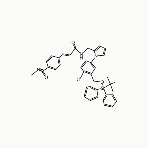 CNC(=O)c1ccc(C=CC(=O)NCc2cccn2-c2ccc(Cl)c(CO[Si](c3ccccc3)(c3ccccc3)C(C)(C)C)c2)cc1